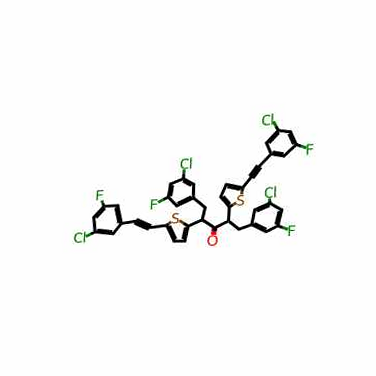 O=C(C(Cc1cc(F)cc(Cl)c1)c1ccc(C#Cc2cc(F)cc(Cl)c2)s1)C(Cc1cc(F)cc(Cl)c1)c1ccc(C#Cc2cc(F)cc(Cl)c2)s1